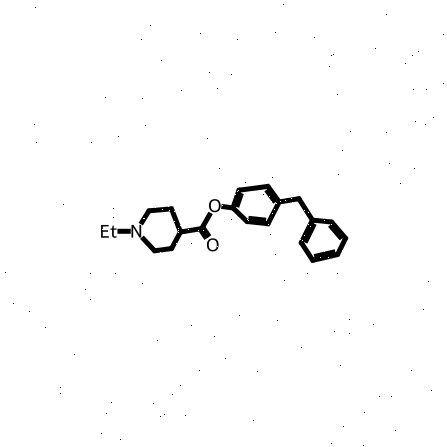 CCN1CCC(C(=O)Oc2ccc(Cc3ccccc3)cc2)CC1